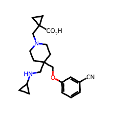 N#Cc1cccc(OCC2(CNC3CC3)CCN(CC3(C(=O)O)CC3)CC2)c1